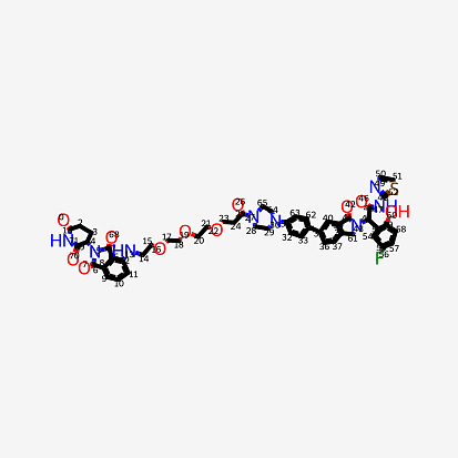 O=C1CCC(N2C(=O)c3cccc(NCCOCCOCCOCCC(=O)N4CCN(c5ccc(-c6ccc7c(c6)C(=O)N(C(C(=O)Nc6nccs6)c6cc(F)ccc6O)C7)cc5)CC4)c3C2=O)C(=O)N1